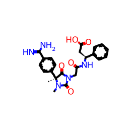 CN1C(=O)N(CC(=O)N[C@@H](CC(=O)O)c2ccccc2)C(=O)[C@]1(C)c1ccc(C(=N)N)cc1